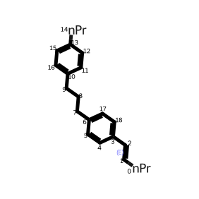 CCC/C=C/c1ccc(CCCc2ccc(CCC)cc2)cc1